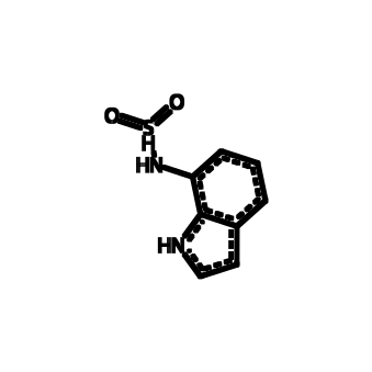 O=[SH](=O)Nc1cccc2cc[nH]c12